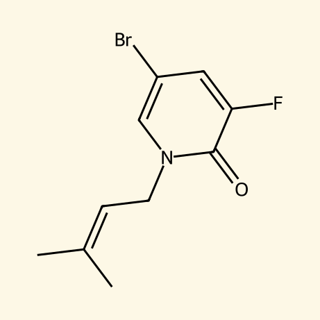 CC(C)=CCn1cc(Br)cc(F)c1=O